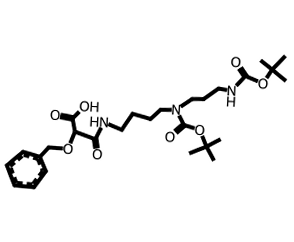 CC(C)(C)OC(=O)NCCCN(CCCCNC(=O)C(OCc1ccccc1)C(=O)O)C(=O)OC(C)(C)C